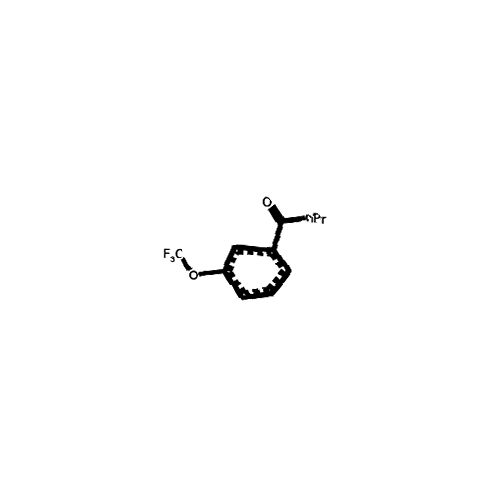 [CH2]CCC(=O)c1cccc(OC(F)(F)F)c1